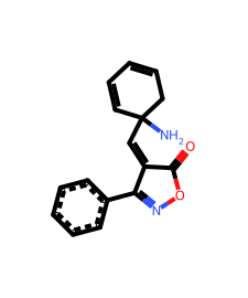 NC1(C=C2C(=O)ON=C2c2ccccc2)C=CC=CC1